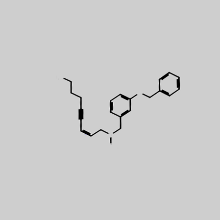 CCCCC#C/C=C\CN(C)Cc1cccc(OCc2ccccc2)c1